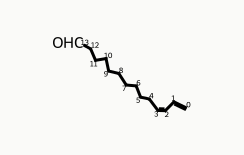 C=C/C=C\CCCCCCCCCC=O